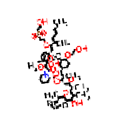 C=C/C=C/C=C(\C)C(C[C@@H]1CC[C@@H](C)[C@](O)(C(=O)C(=O)N2CCCC[C@H]2C(=O)O[C@@H](CC(=O)[C@H](C)/C=C(\C)[C@@H](O)[C@@H](OC)C(=O)[C@H](C)CC(C)C)[C@H](C)C[C@@H]2CC[C@@H](OCCO)[C@H](OC)C2)O1)OCCS(=O)(=O)CCO